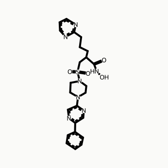 O=C(NO)C(CCCc1ncccn1)CS(=O)(=O)N1CCN(c2cnc(-c3ccccc3)cn2)CC1